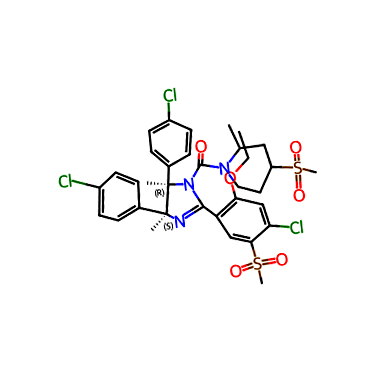 CCOc1cc(Cl)c(S(C)(=O)=O)cc1C1=N[C@@](C)(c2ccc(Cl)cc2)[C@@](C)(c2ccc(Cl)cc2)N1C(=O)N1CCC(S(C)(=O)=O)CC1C